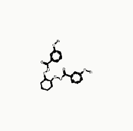 CCOc1cccc(C(=O)OO[C]2CC[CH]CC2OOC(=O)c2cccc(OCC)c2)c1